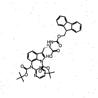 CC(C)(C)OC(=O)N(c1ncccn1)c1cccc2c(C[C@H](NC(=O)OCC3c4ccccc4-c4ccccc43)C(=O)O)cn(C(=O)OC(C)(C)C)c12